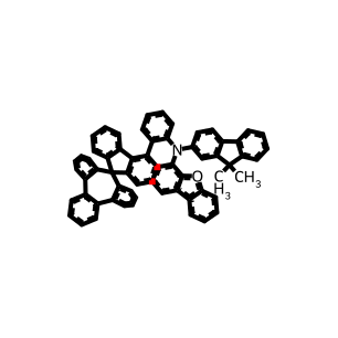 CC1(C)c2ccccc2-c2ccc(N(c3ccccc3-c3cccc4c3-c3ccccc3C43c4ccccc4-c4ccccc4-c4ccccc43)c3cccc4c3oc3ccccc34)cc21